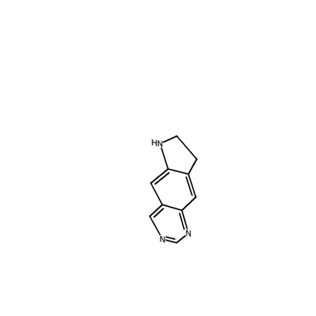 c1ncc2cc3c(cc2n1)CCN3